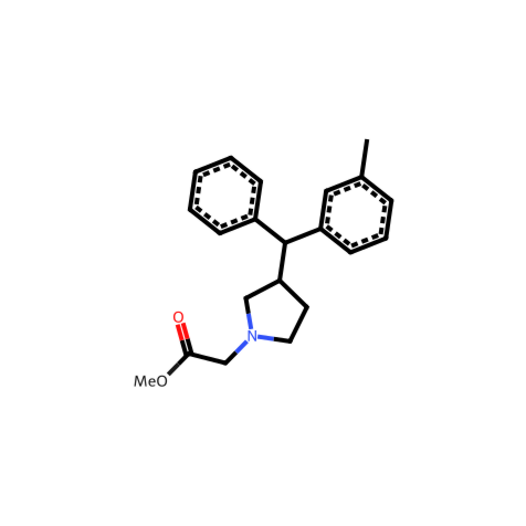 COC(=O)CN1CCC(C(c2ccccc2)c2cccc(C)c2)C1